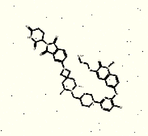 CNCCOc1cc2cc(Nc3nc(N4CCC(CN5[C@@H](C)CC6(C[C@@H]5C)CN(c5ccc7c(c5)C(=O)N(C5CCC(=O)NC5=O)C7=O)C6)CC4)ncc3Cl)ccc2n(C(C)C)c1=O